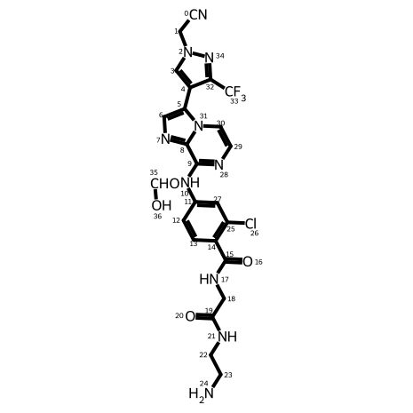 N#CCn1cc(-c2cnc3c(Nc4ccc(C(=O)NCC(=O)NCCN)c(Cl)c4)nccn23)c(C(F)(F)F)n1.O=CO